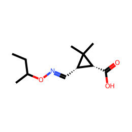 CCC(C)ON=C[C@H]1[C@@H](C(=O)O)C1(C)C